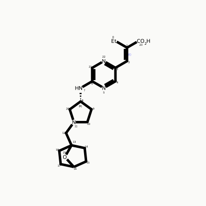 CC/C(=C\c1cnc(N[C@@H]2CCN(CC34CCC(CC3)O4)C2)cn1)C(=O)O